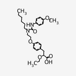 CCCCCCN(CCOc1ccc(CC(OCC)C(=O)O)cc1)C(=O)Nc1ccc(OC)cc1